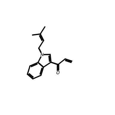 C=CC(=O)c1cn(CC=C(C)C)c2ccccc12